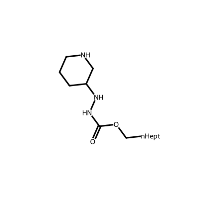 CCCCCCCCOC(=O)NNC1CCCNC1